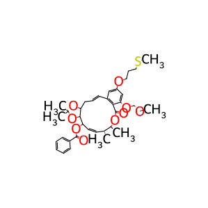 COCOc1cc(OCCCSC)cc2c1C(=O)OC(C)[C@H](C)/C=C\C(OC(=O)c1ccccc1)C1OC(C)(C)OC1C/C=C/2